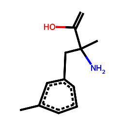 C=C(O)C(C)(N)Cc1cccc(C)c1